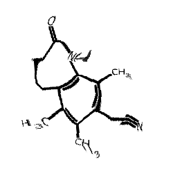 Cc1c(C)c2c(c(C)c1C#N)NC(=O)CC2